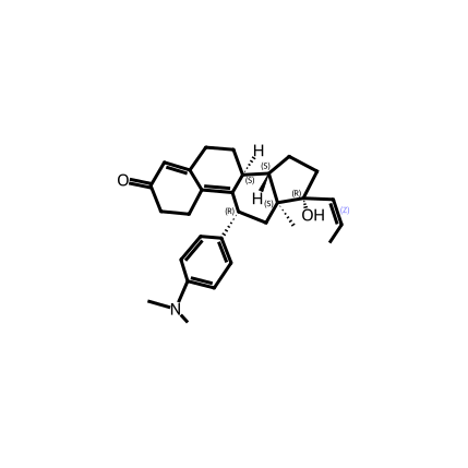 C/C=C\[C@]1(O)CC[C@H]2[C@@H]3CCC4=CC(=O)CCC4=C3[C@@H](c3ccc(N(C)C)cc3)C[C@@]21C